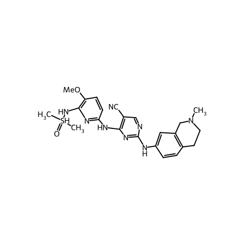 COc1ccc(Nc2nc(Nc3ccc4c(c3)CN(C)CC4)ncc2C#N)nc1N[SH](C)(C)=O